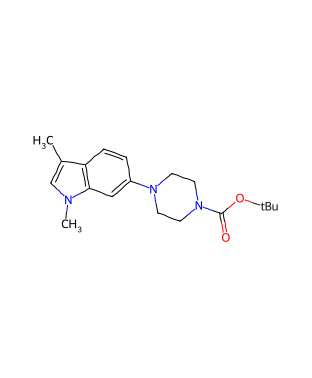 Cc1cn(C)c2cc(N3CCN(C(=O)OC(C)(C)C)CC3)ccc12